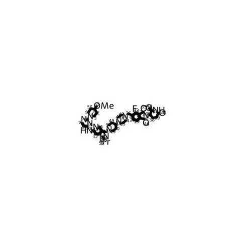 COC1CCN(c2nccc(Nc3cc4c(cn3)c(N3CCC(N5CCN(Cc6ccc7c(c6F)C(=O)N(C6CCC(=O)NC6=O)C7=O)CC5)CC3)nn4C(C)C)n2)CC1